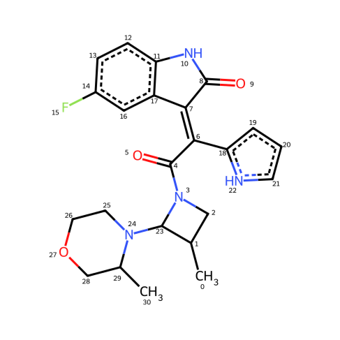 CC1CN(C(=O)C(=C2C(=O)Nc3ccc(F)cc32)c2ccc[nH]2)C1N1CCOCC1C